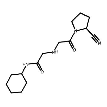 N#CC1CCCN1C(=O)CNCC(=O)NC1CCCCC1